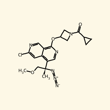 COC[C@@](C)(N=[N+]=[N-])c1cnc(OC2CN(C(=O)C3CC3)C2)c2cnc(Cl)cc12